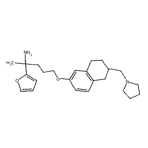 CC(N)(CCCOc1ccc2c(c1)CCC(CN1CCCC1)C2)c1ccco1